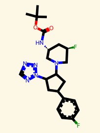 CC(C)(C)OC(=O)N[C@@H]1C[C@@H](F)CN(C2CC(c3ccc(F)cc3)CC2n2ncnn2)C1